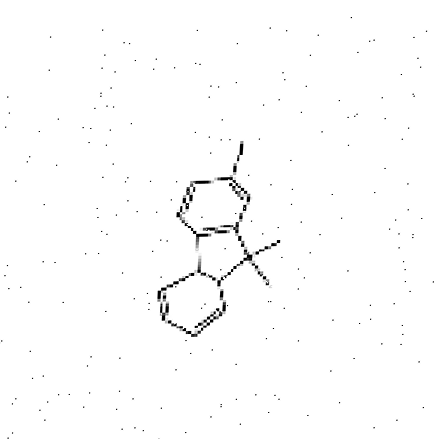 CC1(C)c2cc(I)ccc2C2C=CC=CC21